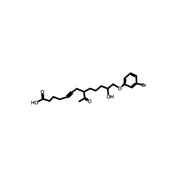 CC(=O)C(CC#CCCCC(=O)O)CCCC(O)COc1cccc(Br)c1